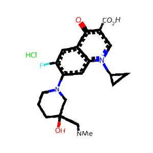 CNCC1(O)CCCN(c2cc3c(cc2F)c(=O)c(C(=O)O)cn3C2CC2)C1.Cl